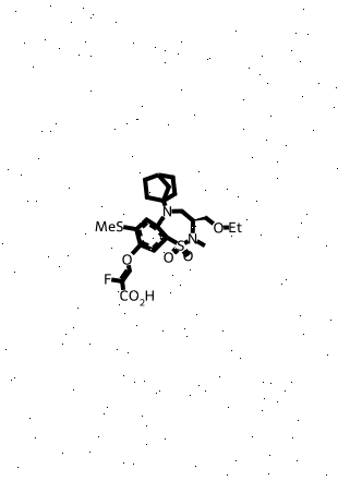 CCOC[C@@H]1CN(C23CCC(CC2)C3)c2cc(SC)c(O/C=C(\F)C(=O)O)cc2S(=O)(=O)N1C